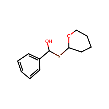 OC(SC1CCCCO1)c1ccccc1